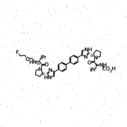 CC(C)[C@H](NCOCCF)C(=O)N1CCC[C@H]1c1nc(-c2ccc(-c3ccc(-c4c[nH]c([C@@H]5CCCN5C(=O)[C@@H](NC(=O)O)C(C)C)n4)cc3)cc2)c[nH]1